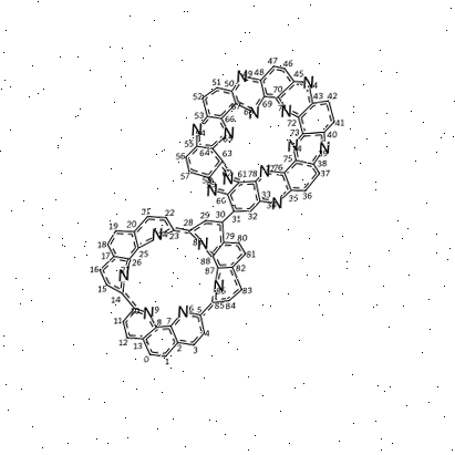 c1cc2ccc3nc2c2nc(ccc12)c1ccc2ccc4ccc(nc4c2n1)c1cc(-c2cc4nc5ccc6nc7ccc8nc9ccc%10nc%11ccc%12nc%13ccc%14nc2c2nc%14c%13nc%12c%11nc%10c9nc8c7nc6c5nc42)c2ccc4ccc3nc4c2n1